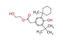 CC(C)(C)c1cc(CC(=O)OCCO)cc(C2(C)CCCCC2)c1O